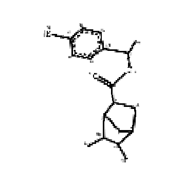 CC(OC(=O)C1CC2CC1C(C)C2C)c1ccc(S)cc1